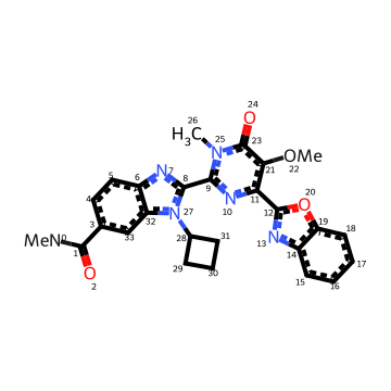 CNC(=O)c1ccc2nc(-c3nc(-c4nc5ccccc5o4)c(OC)c(=O)n3C)n(C3CCC3)c2c1